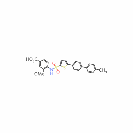 COc1cc(C(=O)O)ccc1NS(=O)(=O)c1ccc(-c2ccc(-c3ccc(C)cc3)cc2)s1